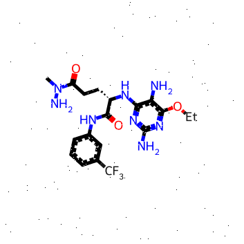 CCOc1nc(N)nc(N[C@@H](CCC(=O)N(C)N)C(=O)Nc2cccc(C(F)(F)F)c2)c1N